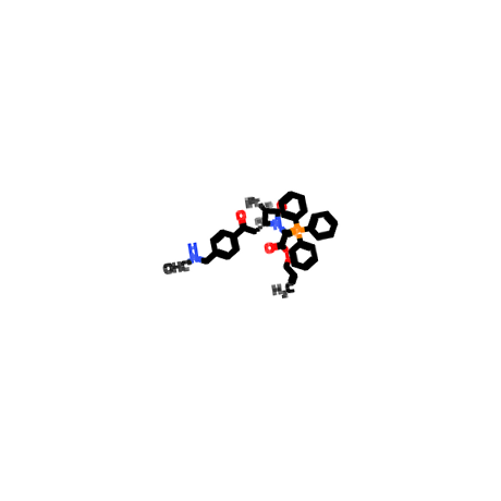 C=CCOC(=O)C(N1C(=O)[C@H](C(C)C)[C@H]1CC(=O)c1ccc(CNC=O)cc1)=P(c1ccccc1)(c1ccccc1)c1ccccc1